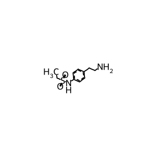 CCS(=O)(=O)Nc1ccc(CCN)cc1